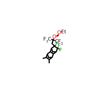 CCOCOC(CC1(F)C2CC(C3C4CC(C(C)C4C)C32)C1(F)F)(C(F)(F)F)C(F)(F)F